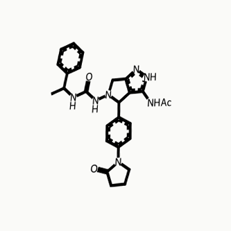 CC(=O)Nc1[nH]nc2c1C(c1ccc(N3CCCC3=O)cc1)N(NC(=O)NC(C)c1ccccc1)C2